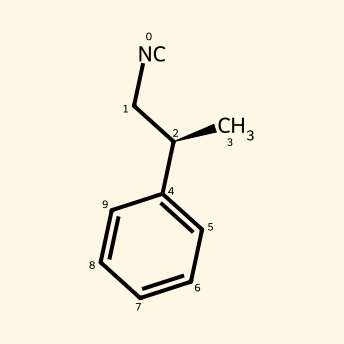 [C-]#[N+]C[C@@H](C)c1ccccc1